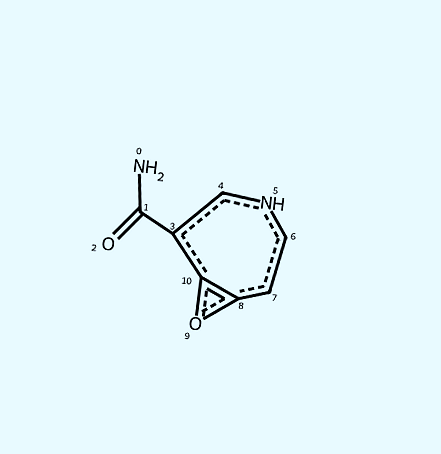 NC(=O)c1c[nH]ccc2oc1=2